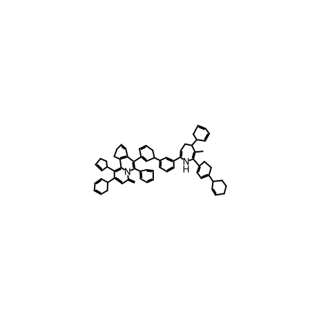 C=C1C=C(C2C=CC=CC2)C(C2C=CCC2)=C2C3=C(C=CCC3)C(C3=CC(c4cccc(C5=CCC(C6C=CC=CC6)C(C)=C(C6=CC=C(C7C=CCCC7)CC6)N5)c4)CC=C3)=C(c3ccccc3)N12